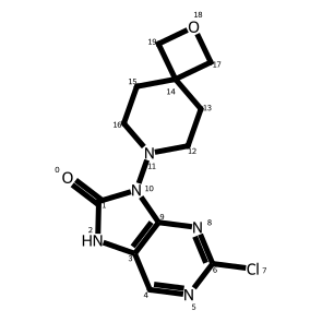 O=c1[nH]c2cnc(Cl)nc2n1N1CCC2(CC1)COC2